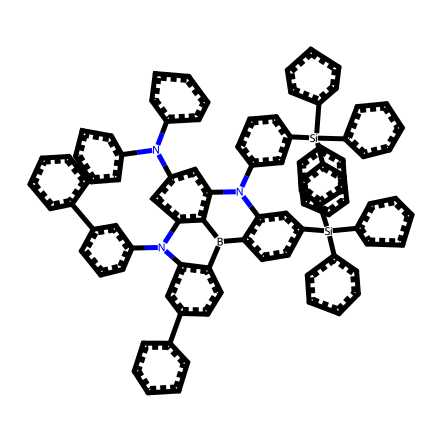 c1ccc(-c2cccc(N3c4cc(-c5ccccc5)ccc4B4c5ccc([Si](c6ccccc6)(c6ccccc6)c6ccccc6)cc5N(c5cccc([Si](c6ccccc6)(c6ccccc6)c6ccccc6)c5)c5cc(N(c6ccccc6)c6ccccc6)cc3c54)c2)cc1